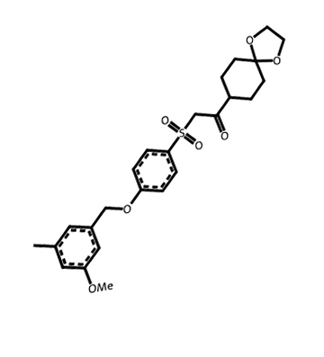 COc1cc(C)cc(COc2ccc(S(=O)(=O)CC(=O)C3CCC4(CC3)OCCO4)cc2)c1